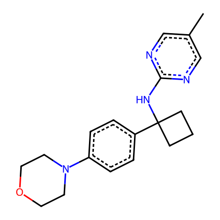 Cc1cnc(NC2(c3ccc(N4CCOCC4)cc3)CCC2)nc1